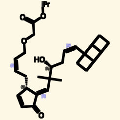 CC(C)OC(=O)COC/C=C\C[C@H]1C=CC(=O)/C1=C/C(C)(C)[C@@H](O)C/C=C\C12C3C4C5C3C1C5C42